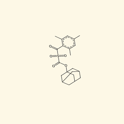 Cc1cc(C)c(C(=O)S(=O)(=O)C(=O)OC23CC4CC(CC(C4)C2)C3)c(C)c1